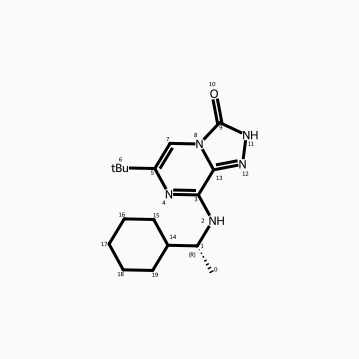 C[C@@H](Nc1nc(C(C)(C)C)cn2c(=O)[nH]nc12)C1CCCCC1